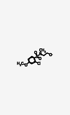 COc1ccc(S(=O)(=O)N(C)CC[O])c(Cl)c1